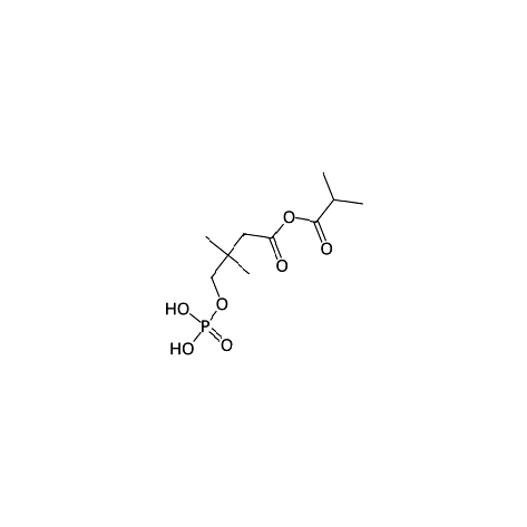 CC(C)C(=O)OC(=O)CC(C)(C)COP(=O)(O)O